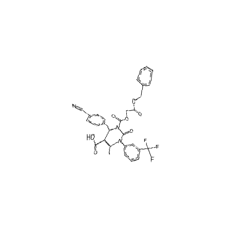 CC1C(C(=O)O)C(c2ccc(C#N)cc2)N(C(=O)OCC(=O)OCc2ccccc2)C(=O)N1c1cccc(C(F)(F)F)c1